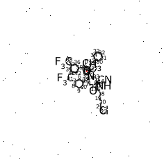 C[C@@H](OC[C@@]1(c2ccccc2)CC[C@](C#N)(NC(=O)CCCCCl)CN1C(=O)OCc1ccccc1)c1cc(C(F)(F)F)cc(C(F)(F)F)c1